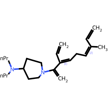 C=C/C(C)=C\C/C=C(\C=C)C(=C)N1CCC(N(CCC)CCC)CC1